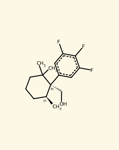 C[C@H]1CCCC(C)(C)[C@@]1(CO)c1cc(F)c(F)c(F)c1